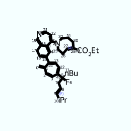 C=C1C=CC([C@](F)(C/C=C/C(C)C)CCCC)=CC=C1C1=CCC2=CN=CC=C(N3CC/C=C(\C(=O)OCC)CCC3)C2=C1